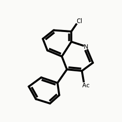 CC(=O)c1cnc2c(Cl)cccc2c1-c1ccccc1